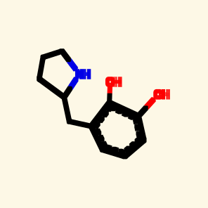 Oc1cccc(CC2CCCN2)c1O